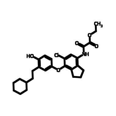 CCOC(=O)C(=O)Nc1cc(Cl)c(Oc2ccc(O)c(CCC3CCCCC3)c2)c2c1CCC2